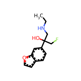 CCNCC(O)(CF)c1ccc2ccoc2c1